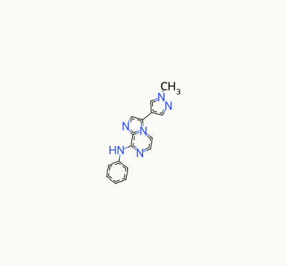 Cn1cc(-c2cnc3c(Nc4ccccc4)nccn23)cn1